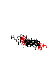 CC(C)OC(=O)C(=O)[C@H]1CC[C@]2(C)[C@H](CC[C@]3(C)[C@@H]2CC[C@@H]2C4=CCC[C@@]4(C(O)C=O)CC[C@]23C)C1(C)C